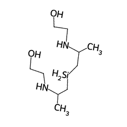 CC(C[SiH2]CC(C)NCCO)NCCO